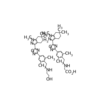 Cc1cc(-c2noc(-c3nn(C)c4c3CCC(C)(C)C4)n2)cc(C)c1CCNCC(=O)O.Cc1cc(-c2noc(-c3nn(C)c4c3CCC(C)(C)C4)n2)cc(C)c1CCNCCO